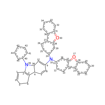 C1=CC2=C(CC1)C1C=CC(N(c3ccc4c(c3)oc3ccccc34)c3ccc4c(c3)oc3ccccc34)=CC1N2c1ccccc1